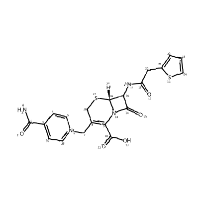 NC(=O)c1cc[n+](CC2=C(C(=O)O)N3C(=O)C(NC(=O)Cc4cccs4)[C@H]3SC2)cc1